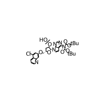 CC(C)(C)OC(=O)N(C(=O)OC(C)(C)C)c1ncnc2c1ccn2[C@@H]1O[C@H](COc2cc(Cl)c3cccnc3c2)C[C@H]1OC(C)(C)O